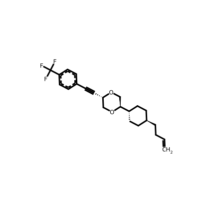 C=CCC[C@H]1CC[C@H]([C@@H]2CO[C@@H](C#Cc3ccc(C(F)(F)F)cc3)CO2)CC1